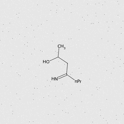 [CH2]CCC(=N)CC(C)O